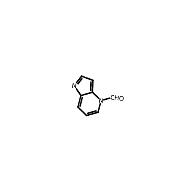 O=Cn1cccc2nccc1-2